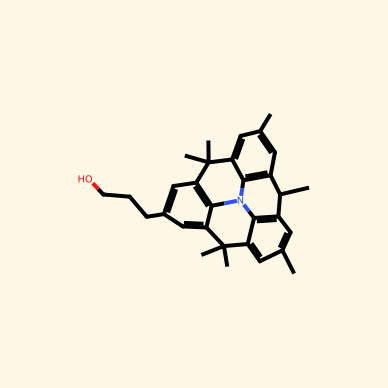 Cc1cc2c3c(c1)C(C)(C)c1cc(CCCO)cc4c1N3c1c(cc(C)cc1C4(C)C)C2C